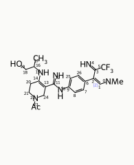 CN/C=C(\C(=N)C(F)(F)F)c1ccc(NC(=N)C2=C(NC(C)CO)CCN(C(C)=O)C2)cc1